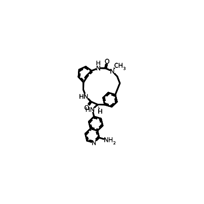 CN1CCc2ccc(cc2)[C@@H](Nc2ccc3c(N)nccc3c2)C(=O)NCc2cccc(c2)NC1=O